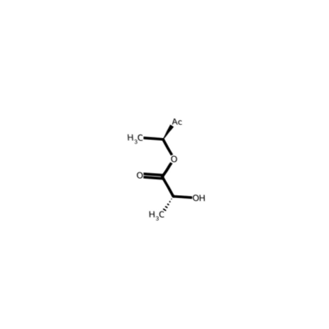 CC(=O)[C@H](C)OC(=O)[C@@H](C)O